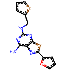 Nc1nc(NCc2cccs2)nc2sc(-c3ccco3)nc12